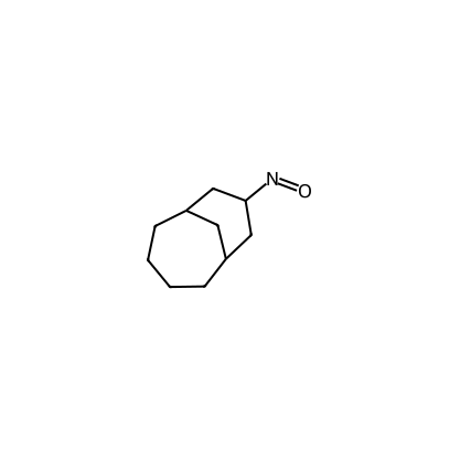 O=NC1CC2CCCCC(C2)C1